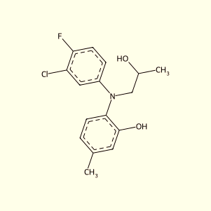 Cc1ccc(N(CC(C)O)c2ccc(F)c(Cl)c2)c(O)c1